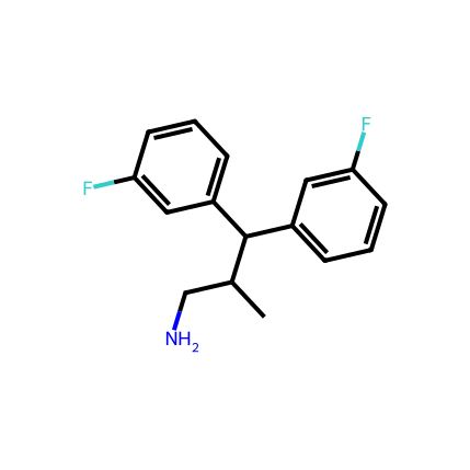 CC(CN)C(c1cccc(F)c1)c1cccc(F)c1